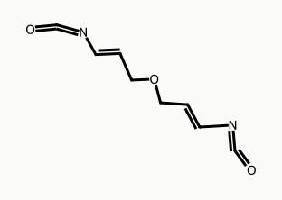 O=C=NC=CCOCC=CN=C=O